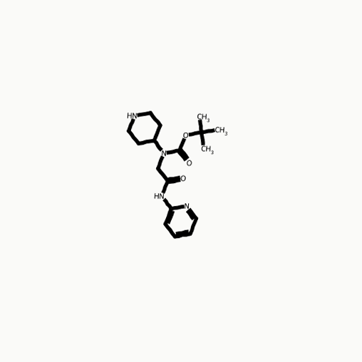 CC(C)(C)OC(=O)N(CC(=O)Nc1ccccn1)C1CCNCC1